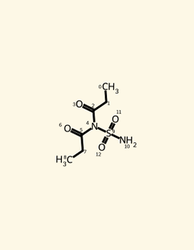 CCC(=O)N(C(=O)CC)S(N)(=O)=O